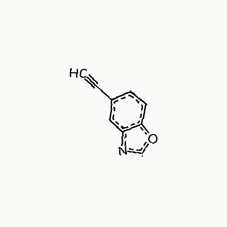 C#Cc1ccc2o[c]nc2c1